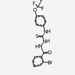 O=C(NNC(=S)Nc1ccc(OC(F)(F)F)cc1)c1ccccc1Br